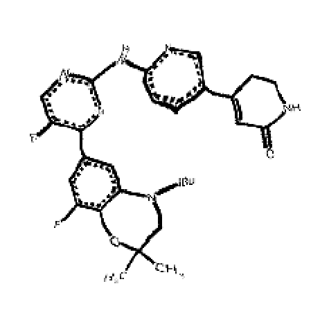 CCC(C)N1CC(C)(C)Oc2c(F)cc(-c3nc(Nc4ccc(C5=CC(=O)NCC5)cn4)ncc3F)cc21